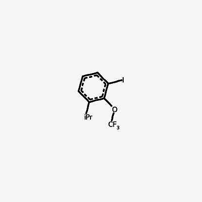 [CH2]C(C)c1cccc(I)c1OC(F)(F)F